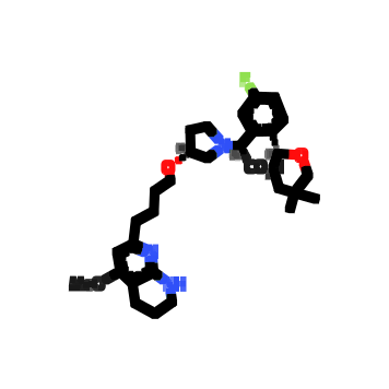 COc1cc(CCCCO[C@@H]2CCN([C@H](C(=O)O)c3cc(F)ccc3[C@H]3CCC(C)(C)CO3)C2)nc2c1CCCN2